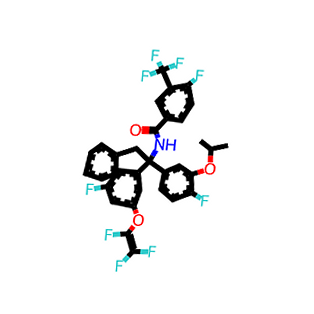 CC(C)Oc1cc(C(Cc2ccccc2)(NC(=O)c2ccc(F)c(C(F)(F)F)c2)c2cc(F)cc(OC(F)=C(F)F)c2)ccc1F